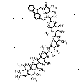 CC=CC[C@@H](C)[C@@H](O)[C@@H](C(=O)N[C@H](C(=O)O)[C@@H](C)O)N(C)C(=O)[C@H](C(C)C)N(C)C(=O)[C@H](CC(C)C)NC(=O)[C@H](CC(C)C)N(C)C(=O)[C@@H](C)NC(=O)[C@H](C)NC(=O)[C@H](CC(C)C)N(C)C(=O)[C@H](CC(C)C)NC(=O)[C@H](C(C)CC)N(C)C(=O)[C@@H](C)N(C)C(=O)OCC1c2ccccc2-c2ccccc21